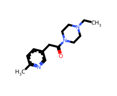 CCN1CCN(C(=O)Cc2ccc(C)nc2)CC1